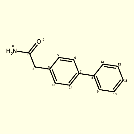 NC(=O)Cc1ccc(-c2ccccc2)cc1